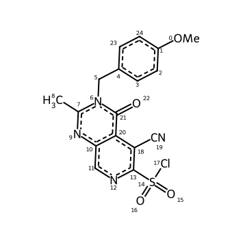 COc1ccc(Cn2c(C)nc3cnc(S(=O)(=O)Cl)c(C#N)c3c2=O)cc1